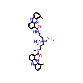 Cc1cccc2nc3cccc(C(=O)NCCCC(N)(CN)CCCNC(=O)c4cccc5nc6cccc(C)c6nc45)c3nc12